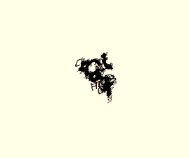 C=CC[C@H](O)[C@@H]1CC[C@H]1CN1CCCCc2cc(Cl)ccc2COc2ccc(C(=O)NS(=O)(=O)C(C)(C)CC=C)cc21